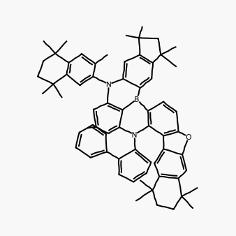 Cc1cc2c3c(c1)N(c1ccccc1-c1ccccc1)c1c(ccc4oc5cc6c(cc5c14)C(C)(C)CCC6(C)C)B3c1cc3c(cc1N2c1cc2c(cc1C)C(C)(C)CCC2(C)C)C(C)(C)CC3(C)C